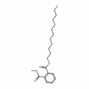 CCCCCCCCCCCCOC(=O)c1ccccc1C(=O)OC